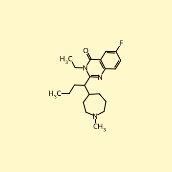 CCCC(c1nc2ccc(F)cc2c(=O)n1CC)C1CCCN(C)CC1